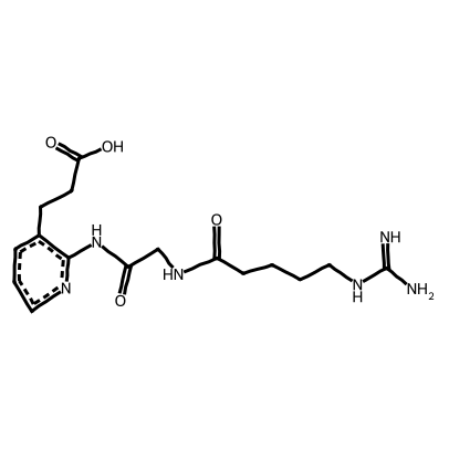 N=C(N)NCCCCC(=O)NCC(=O)Nc1ncccc1CCC(=O)O